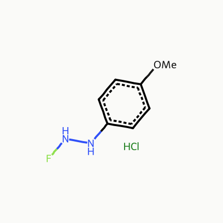 COc1ccc(NNF)cc1.Cl